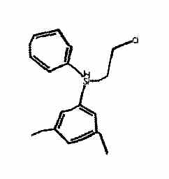 Cc1cc(C)cc([SiH](CCCl)c2ccccc2)c1